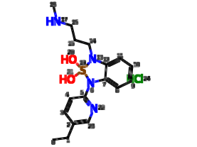 CCc1ccc(N2c3ccccc3N(CCCNC)S2(O)O)nc1.Cl